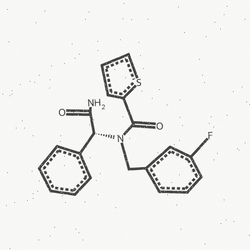 NC(=O)[C@@H](c1ccccc1)N(Cc1cccc(F)c1)C(=O)c1cccs1